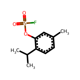 Cc1ccc(C(C)C)c(OS(=O)(=O)F)c1